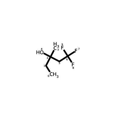 CCC(C)(O)CC(F)(F)F